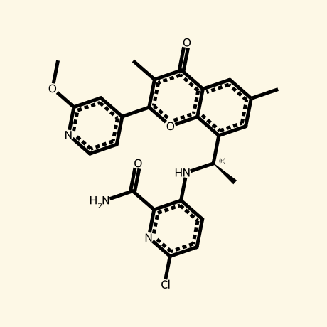 COc1cc(-c2oc3c([C@@H](C)Nc4ccc(Cl)nc4C(N)=O)cc(C)cc3c(=O)c2C)ccn1